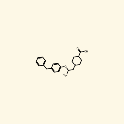 CC(CN1CCC(C(=O)O)CC1)Oc1ccc(Cc2ccccc2)cc1